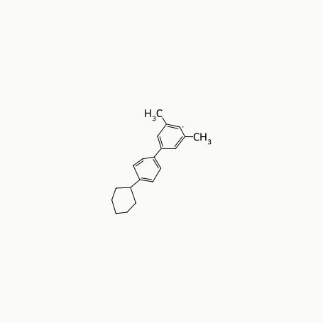 Cc1[c]c(C)cc(-c2ccc(C3CCCCC3)cc2)c1